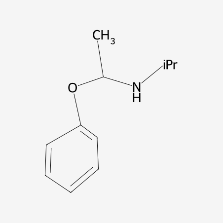 CC(C)NC(C)Oc1ccccc1